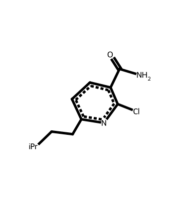 CC(C)CCc1ccc(C(N)=O)c(Cl)n1